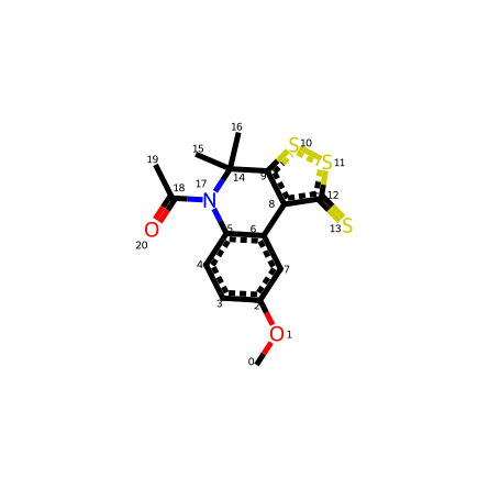 COc1ccc2c(c1)-c1c(ssc1=S)C(C)(C)N2C(C)=O